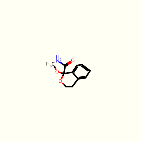 COC1(C(N)=O)OCCc2ccccc21